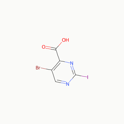 O=C(O)c1nc(I)ncc1Br